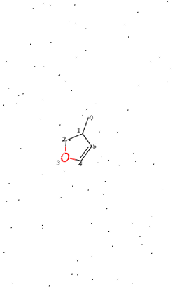 CC1[CH]OC=C1